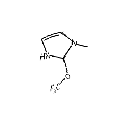 CN1[C]=CNC1OC(F)(F)F